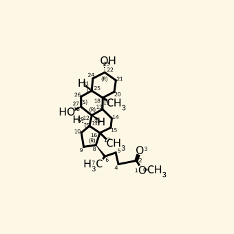 COC(=O)CCC(C)[C@H]1CC[C@H]2[C@H]3C(CCC12C)C1(C)CC[C@@H](O)C[C@H]1C[C@@H]3O